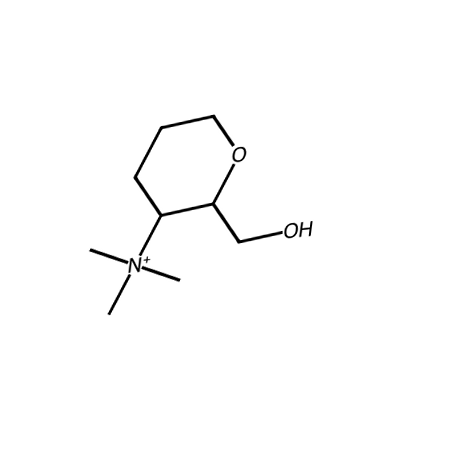 C[N+](C)(C)C1CCCOC1CO